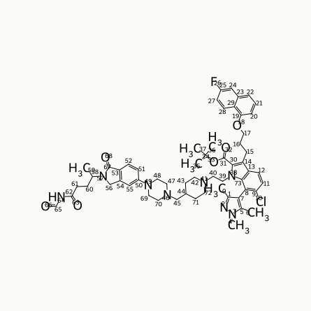 Cc1nn(C)c(C)c1-c1c(Cl)ccc2c(CCCOc3cccc4cc(F)ccc34)c(C(=O)OC(C)(C)C)n(CCN3CCC(CN4CCN(c5ccc6c(c5)CN(C(C)CCC(=O)NC=O)C6=O)CC4)CC3)c12